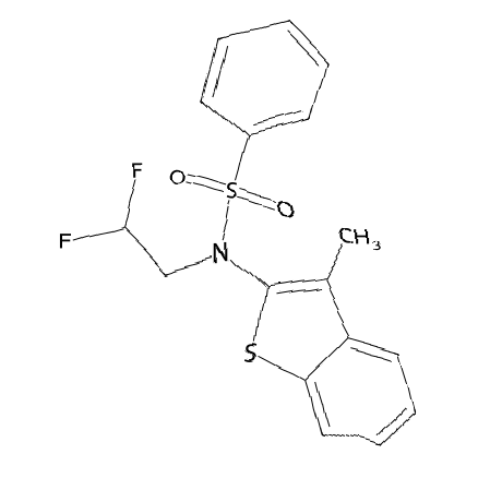 Cc1c(N(CC(F)F)S(=O)(=O)c2ccccc2)sc2ccccc12